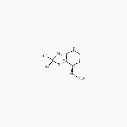 CC(C)(C)[Si](C)(C)O[C@@H]1CNCC[C@H]1NC(=O)O